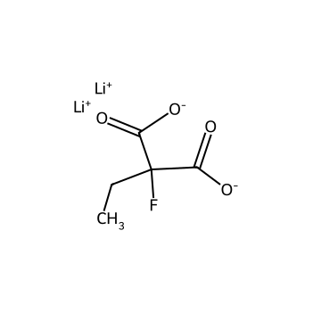 CCC(F)(C(=O)[O-])C(=O)[O-].[Li+].[Li+]